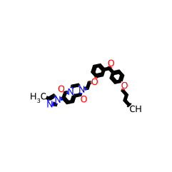 C#CCCCOc1ccc(C(=O)c2cccc(OCCN3CCn4c(ccc(-n5cnc(C)c5)c4=O)C3=O)c2)cc1